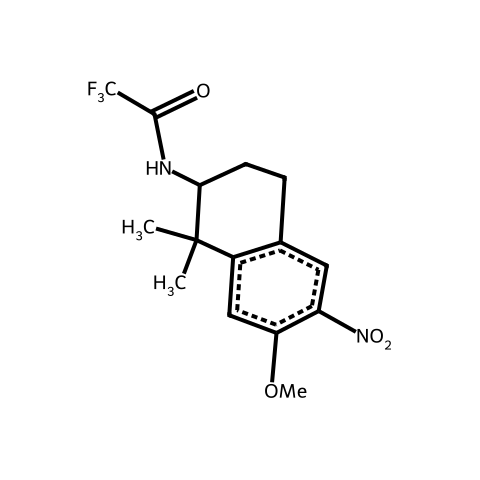 COc1cc2c(cc1[N+](=O)[O-])CCC(NC(=O)C(F)(F)F)C2(C)C